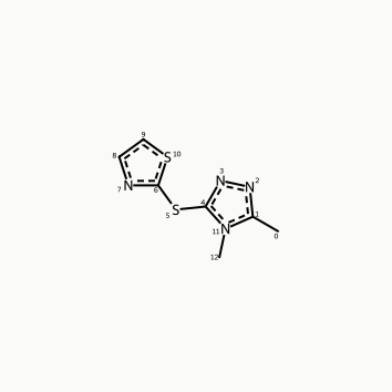 Cc1nnc(Sc2nccs2)n1C